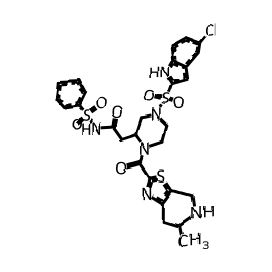 CC1Cc2nc(C(=O)N3CCN(S(=O)(=O)c4cc5cc(Cl)ccc5[nH]4)CC3CC(=O)NS(=O)(=O)c3ccccc3)sc2CN1